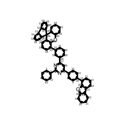 c1ccc(-c2nc(-c3ccc(-c4cccc5c4oc4ccccc45)cc3)cc(-c3cccc(-c4cccc5c4Oc4ccccc4C54c5ccccc5-c5ccccc54)c3)n2)cc1